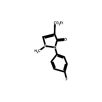 CCOC(=O)c1cn(C)n(-c2ccc(F)cc2)c1=O